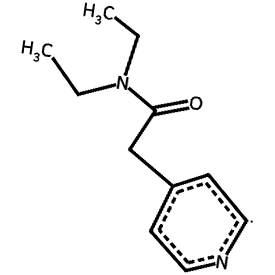 CCN(CC)C(=O)Cc1c[c]ncc1